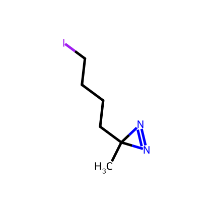 CC1(CCCCI)N=N1